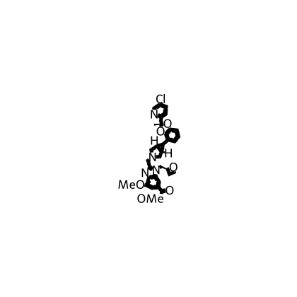 COC(=O)c1cc(OC)c2nc(CN3C[C@@H]4C(c5cccc6c5O[C@](C)(c5ccc(Cl)cn5)O6)[C@@H]4C3)n(C[C@@H]3CCO3)c2c1